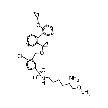 COC[C@@H](N)CCCCNS(=O)(=O)c1ccc(Cl)c(COC2(c3cnccc3-c3ccccc3OC3CC3)CC2)c1